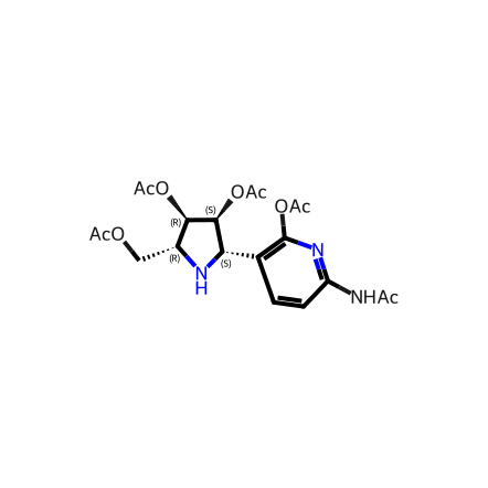 CC(=O)Nc1ccc([C@@H]2N[C@H](COC(C)=O)[C@@H](OC(C)=O)[C@H]2OC(C)=O)c(OC(C)=O)n1